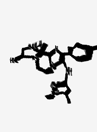 Cc1cc(Nc2c(-c3ccc(F)cc3)nc3n2CCN2C(=N)CNC32C)nn1C